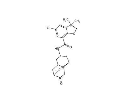 CC1(C)COc2c(C(=O)NC3CC4CC5CC(C3)N4CC5=O)cc(Cl)cc21